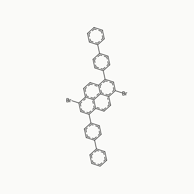 Brc1cc(-c2ccc(-c3ccccc3)cc2)c2ccc3c(Br)cc(-c4ccc(-c5ccccc5)cc4)c4ccc1c2c34